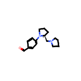 O=Cc1ccc(N2CCC[C@H]2CN2CCCC2)cc1